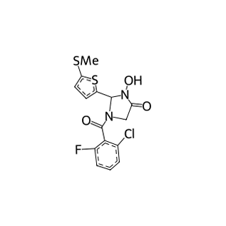 CSc1ccc(C2N(O)C(=O)CN2C(=O)c2c(F)cccc2Cl)s1